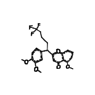 COc1ccc(C(CCCC(F)(F)F)c2cc(=O)c3c(OC)cccc3o2)cc1OC